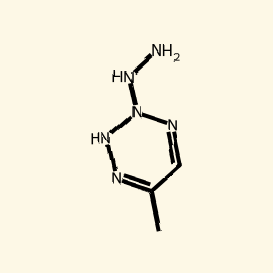 CC1=NNN(NN)N=C1